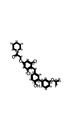 O=C(COc1cc(Cl)c(Cc2ccc(O)c(-c3cccc(OC(F)F)c3)c2)c(Cl)c1)N1CCCCC1